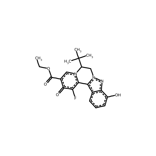 CCOC(=O)c1cn2c(c(F)c1=O)-c1c3cccc(O)c3nn1CC2C(C)(C)C